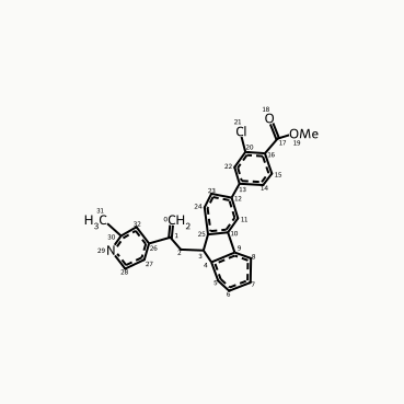 C=C(CC1c2ccccc2-c2cc(-c3ccc(C(=O)OC)c(Cl)c3)ccc21)c1ccnc(C)c1